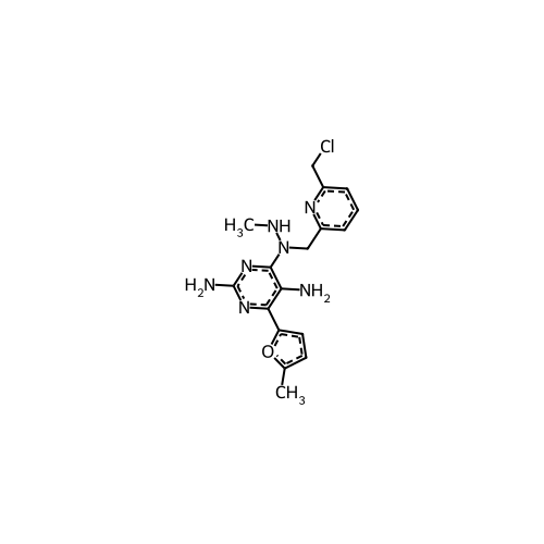 CNN(Cc1cccc(CCl)n1)c1nc(N)nc(-c2ccc(C)o2)c1N